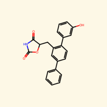 O=C1NC(=O)C(Cc2cc(-c3ccccc3)ccc2-c2cccc(O)c2)O1